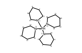 C1CCN([PH](N2CCCCC2)(N2CCCCC2)N2CCCCC2)CC1